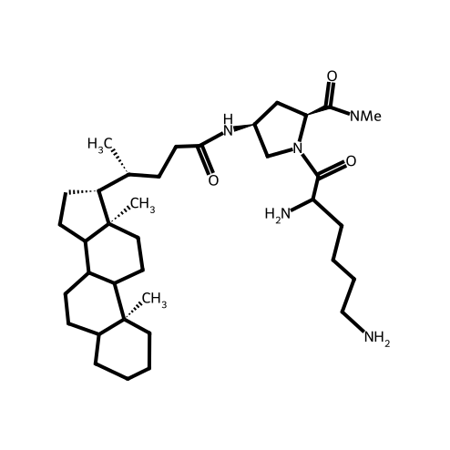 CNC(=O)[C@@H]1C[C@H](NC(=O)CC[C@@H](C)[C@H]2CCC3C4CCC5CCCC[C@]5(C)C4CC[C@@]32C)CN1C(=O)C(N)CCCCN